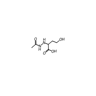 CC(=O)NNC(CCO)C(=O)O